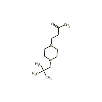 CC(=O)CCN1CCN(CC(C)(C)C)CC1